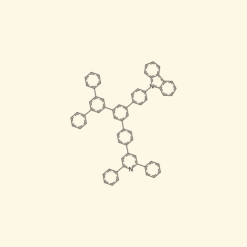 c1ccc(-c2cc(-c3ccccc3)cc(-c3cc(-c4ccc(-c5cc(-c6ccccc6)nc(-c6ccccc6)c5)cc4)cc(-c4ccc(-n5c6ccccc6c6ccccc65)cc4)c3)c2)cc1